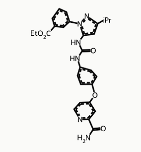 CCOC(=O)c1cccc(-n2nc(C(C)C)cc2NC(=O)Nc2ccc(Oc3ccnc(C(N)=O)c3)cc2)c1